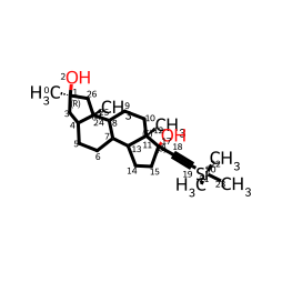 C[C@@]1(O)CC2CCC3C(CC[C@@]4(C)C3CC[C@@]4(O)C#C[Si](C)(C)C)[C@@]2(C)C1